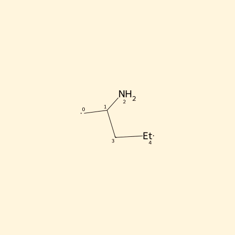 [CH2]C(N)C[CH]C